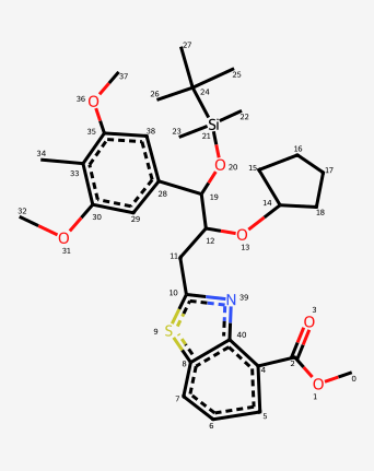 COC(=O)c1cccc2sc(CC(OC3CCCC3)C(O[Si](C)(C)C(C)(C)C)c3cc(OC)c(C)c(OC)c3)nc12